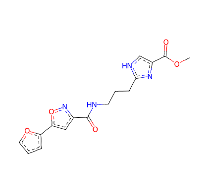 COC(=O)c1c[nH]c(CCCNC(=O)c2cc(-c3ccco3)on2)n1